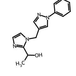 CC(O)c1nccn1Cc1cnn(-c2ccccc2)c1